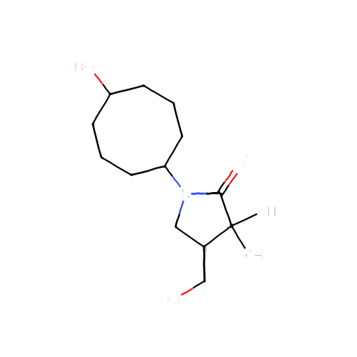 CC1(C)C(=O)N(C2CCCC(O)CCC2)CC1CO